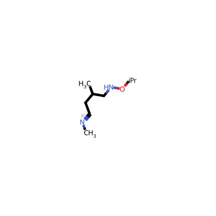 C/N=C/CC(C)CNOC(C)C